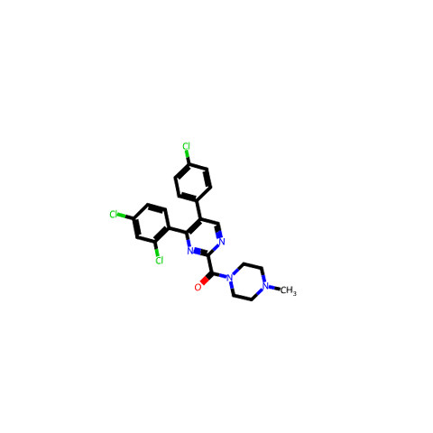 CN1CCN(C(=O)c2ncc(-c3ccc(Cl)cc3)c(-c3ccc(Cl)cc3Cl)n2)CC1